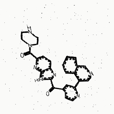 O=C(c1ccnc(-c2cncc3ccccc23)c1)c1nc2ccc(C(=O)N3CCNCC3)nc2[nH]1